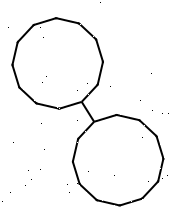 C1CCCCCC(C2CCCCCCCCCCC2)CCCCC1